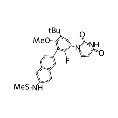 COc1c(C(C)(C)C)cc(-n2ccc(=O)[nH]c2=O)c(F)c1-c1ccc2cc(NSC)ccc2c1